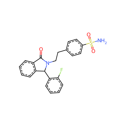 NS(=O)(=O)c1ccc(CCN2C(=O)c3ccccc3C2c2ccccc2F)cc1